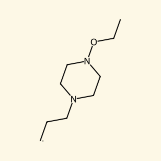 [CH2]CCN1CCN(OCC)CC1